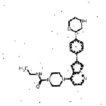 CCNC(=O)N1CCN(c2ccnn3cc(-c4ccc([C@H]5CNCCO5)cc4)cc23)CC1